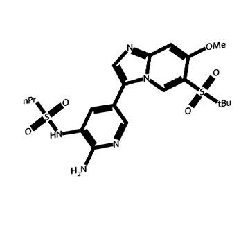 CCCS(=O)(=O)Nc1cc(-c2cnc3cc(OC)c(S(=O)(=O)C(C)(C)C)cn23)cnc1N